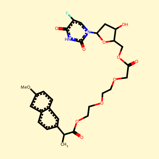 COc1ccc2cc(C(C)C(=O)OCCOCCOCC(=O)OCC3OC(n4cc(F)c(=O)[nH]c4=O)CC3O)ccc2c1